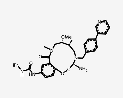 CO[C@H]1CN(C)C(=O)c2cc(NC(=O)NC(C)C)ccc2OC[C@H](N)N(Cc2ccc(-c3cccnc3)cc2)C[C@@H]1C